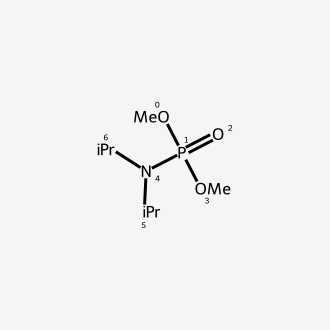 COP(=O)(OC)N(C(C)C)C(C)C